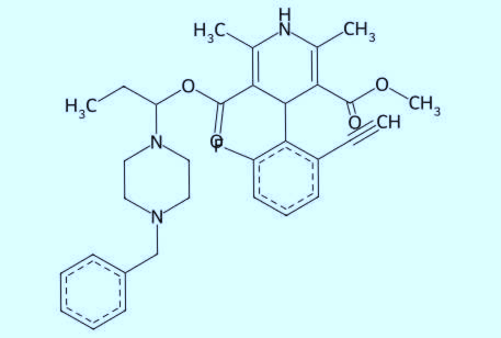 C#Cc1cccc(F)c1C1C(C(=O)OC)=C(C)NC(C)=C1C(=O)OC(CC)N1CCN(Cc2ccccc2)CC1